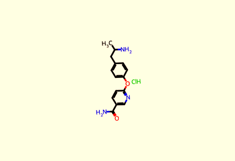 CC(N)Cc1ccc(Oc2ccc(C(N)=O)cn2)cc1.Cl